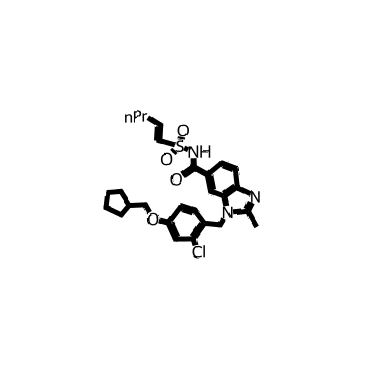 CCC/C=C/S(=O)(=O)NC(=O)c1ccc2nc(C)n(Cc3ccc(OCC4CCCC4)cc3Cl)c2c1